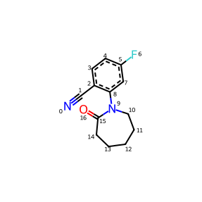 N#Cc1ccc(F)cc1N1CCCCCC1=O